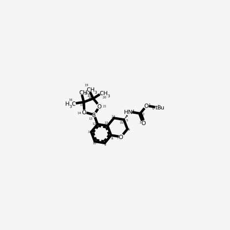 CC(C)(C)OC(=O)N[C@@H]1COc2cccc(B3OC(C)(C)C(C)(C)O3)c2C1